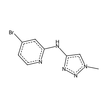 Cn1cc(Nc2cc(Br)ccn2)nn1